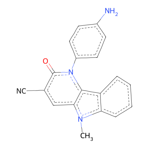 Cn1c2ccccc2c2c1cc(C#N)c(=O)n2-c1ccc(N)cc1